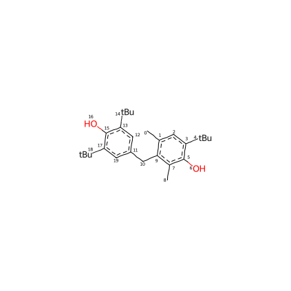 Cc1cc(C(C)(C)C)c(O)c(C)c1Cc1cc(C(C)(C)C)c(O)c(C(C)(C)C)c1